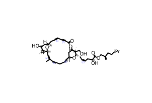 C=C(CCC(C)C)COC(=O)[C@H](O)C/C=C\C[C@@H]1O[C@@H]2/C=C/C/C=C/C(C)=C\[C@H]3O[C@@H](C/C=C/C=C/C(=O)O[C@H](C2)[C@@]1(C)CO)C[C@H](O)[C@H]3C